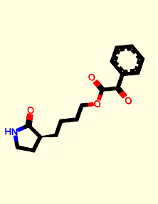 O=C(OCCCC[C@H]1CCNC1=O)C(=O)c1ccccc1